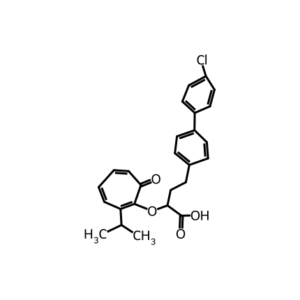 CC(C)c1ccccc(=O)c1OC(CCc1ccc(-c2ccc(Cl)cc2)cc1)C(=O)O